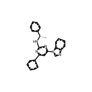 C[C@H](Nc1nc(-c2ccccc2)cc(-n2cnc3ccccc32)n1)c1ccccc1